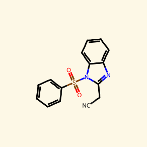 N#CCc1nc2ccccc2n1S(=O)(=O)c1ccccc1